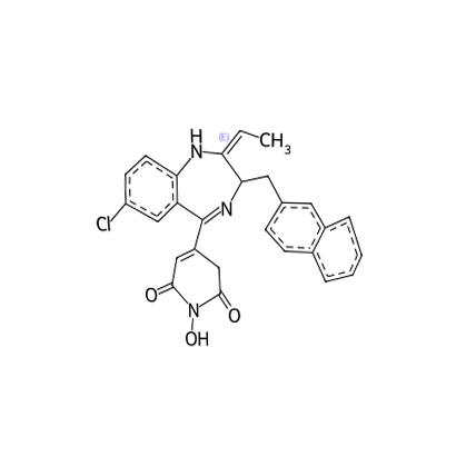 C/C=C1/Nc2ccc(Cl)cc2C(C2=CC(=O)N(O)C(=O)C2)=NC1Cc1ccc2ccccc2c1